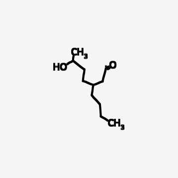 CCCCC(C[C]=O)CCC(C)O